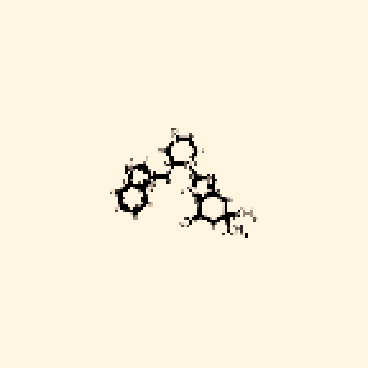 CC1(C)CC(=O)c2sc(N3CCOC[C@@H]3Cn3cnc4ccccc43)nc2C1